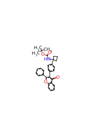 CC(C)(C)OC(=O)NC1(c2ccc(-c3c(-c4ccccc4)oc4ccccc4c3=O)cc2)CCC1